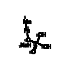 O=P(O)(O)[O][Fe][Mn].[NaH]